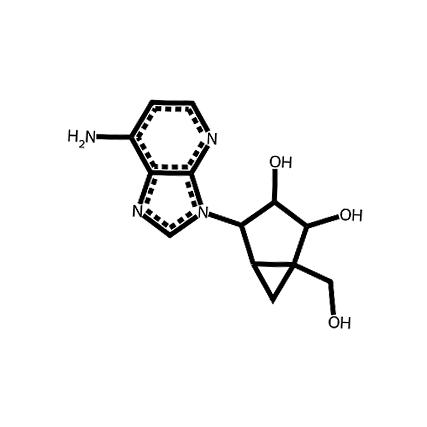 Nc1ccnc2c1ncn2C1C(O)C(O)C2(CO)CC12